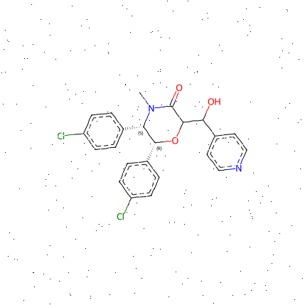 CN1C(=O)C(C(O)c2ccncc2)O[C@H](c2ccc(Cl)cc2)[C@@H]1c1ccc(Cl)cc1